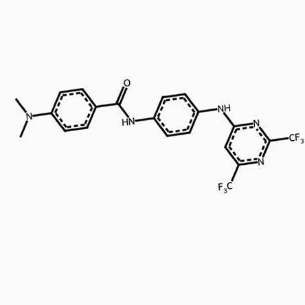 CN(C)c1ccc(C(=O)Nc2ccc(Nc3cc(C(F)(F)F)nc(C(F)(F)F)n3)cc2)cc1